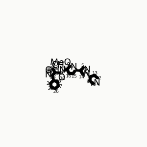 COc1nc(-c2cnn(-c3ccncc3)c2)ccc1NC(=O)c1c(-c2ccccc2)noc1C